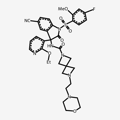 CCOc1ncccc1C1(NC(=O)N2CC3(CN(CCN4CCOCC4)C3)C2)C(=O)N(S(=O)(=O)c2ccc(F)cc2OC)c2ccc(C#N)cc21